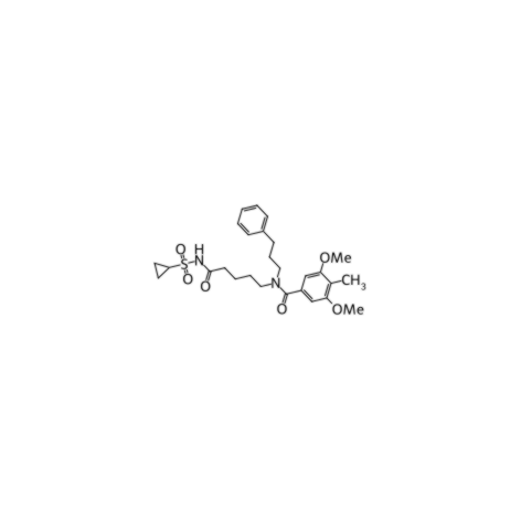 COc1cc(C(=O)N(CCCCC(=O)NS(=O)(=O)C2CC2)CCCc2ccccc2)cc(OC)c1C